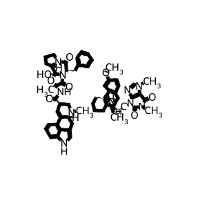 CN1C[C@H](C(=O)N[C@]2(C)O[C@@]3(O)[C@@H]4CCCN4C(=O)[C@H](Cc4ccccc4)N3C2=O)C=C2c3cccc4[nH]cc(c34)C[C@H]21.COc1ccc2c(c1)[C@]13CCCC[C@@H]1[C@H](C2)N(C)CC3.Cn1c(=O)c2c(ncn2C)n(C)c1=O